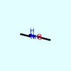 CCCCCCCCCCCCOC(=O)CCSCCCC(=N)Nc1ccc(CCCCCCCCCC)cc1